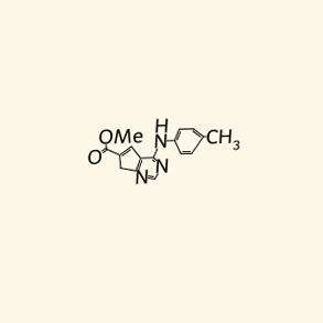 COC(=O)C1=Cc2c(ncnc2Nc2ccc(C)cc2)C1